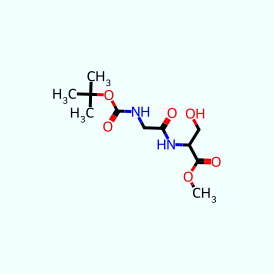 COC(=O)C(CO)NC(=O)CNC(=O)OC(C)(C)C